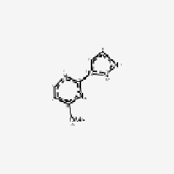 COc1ccnc(-n2ccnn2)n1